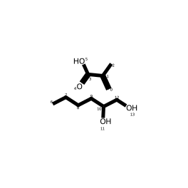 C=C(C)C(=O)O.CCCCC(O)CO